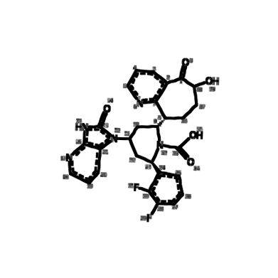 O=C1c2cccnc2[C@@H](C2CC(n3c(=O)[nH]c4ncccc43)C[C@H](c3cccc(F)c3F)N2C(=O)O)CCC1O